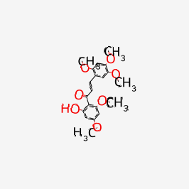 COc1cc(O)c(C(=O)C=Cc2cc(OC)c(OC)cc2OC)c(OC)c1